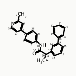 Cc1cc(-c2ccc(NC(=O)[C@H](C)c3cccc(-c4ccccc4)c3)cc2)ccn1